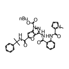 CCCCOC(=O)n1nc(NC(=O)c2ccccc2NC(=O)c2cccn2C)c2oc(C(=O)NC(C)(C)c3ccccc3)cc21